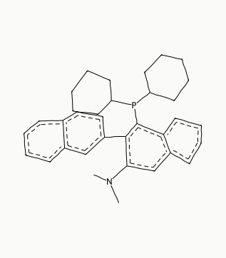 CN(C)c1cc2ccccc2c(P(C2CCCCC2)C2CCCCC2)c1-c1ccc2ccccc2c1